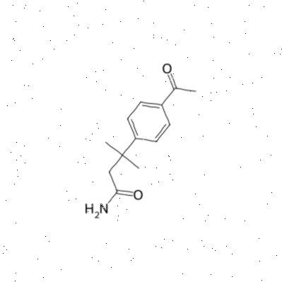 CC(=O)c1ccc(C(C)(C)CC(N)=O)cc1